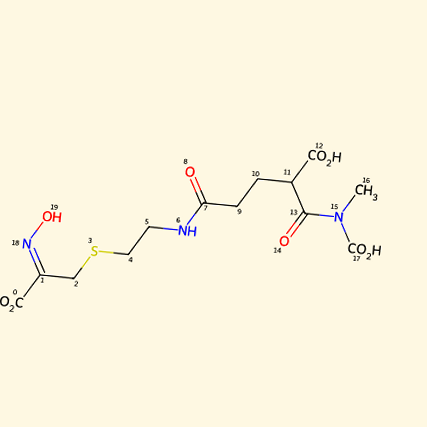 CCOC(=O)C(CSCCNC(=O)CCC(C(=O)O)C(=O)N(C)C(=O)O)=NO